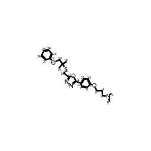 CN(C)CCCOc1ccc(-c2nnc(CSC(C)(C)COc3ccccc3)o2)cc1